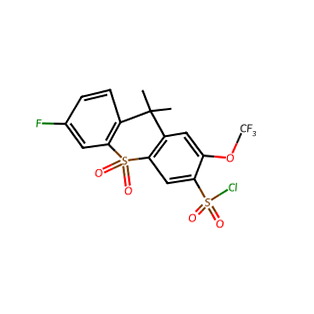 CC1(C)c2ccc(F)cc2S(=O)(=O)c2cc(S(=O)(=O)Cl)c(OC(F)(F)F)cc21